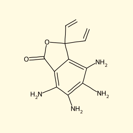 C=CC1(C=C)OC(=O)c2c(N)c(N)c(N)c(N)c21